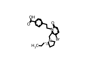 CCC[C@H]1CCCN1Cc1c(Br)ccc(=O)n1CCc1ccc(C(=O)O)cc1